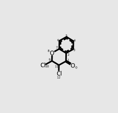 O=C1c2ccccc2OC(Cl)C1Cl